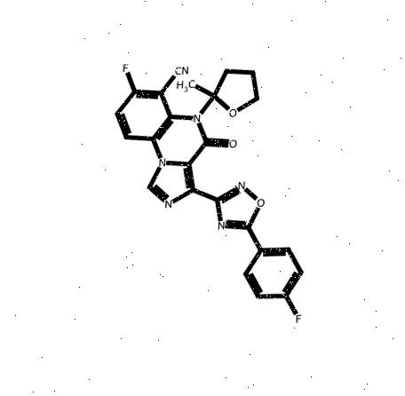 CC1(n2c(=O)c3c(-c4noc(-c5ccc(F)cc5)n4)ncn3c3ccc(F)c(C#N)c32)CCCO1